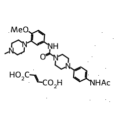 COc1ccc(NC(=O)N2CCN(c3ccc(NC(C)=O)cc3)CC2)cc1N1CCN(C)CC1.O=C(O)/C=C/C(=O)O